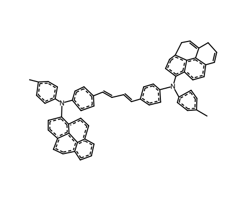 Cc1ccc(N(c2ccc(C=CC=Cc3ccc(N(c4ccc(C)cc4)c4ccc5ccc6cccc7ccc4c5c67)cc3)cc2)c2ccc3c4c5c(ccc24)C=CCC5=CC3)cc1